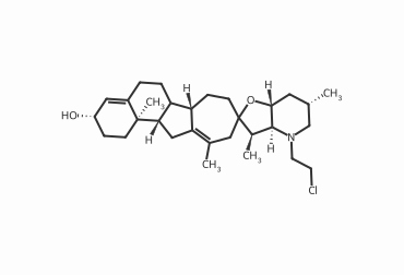 CC1=C2C[C@H]3C(CCC4=C[C@@H](O)CC[C@@]43C)[C@@H]2CCC2(C1)O[C@@H]1C[C@H](C)CN(CCCl)[C@H]1[C@H]2C